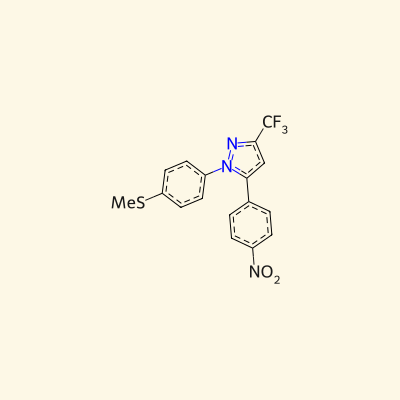 CSc1ccc(-n2nc(C(F)(F)F)cc2-c2ccc([N+](=O)[O-])cc2)cc1